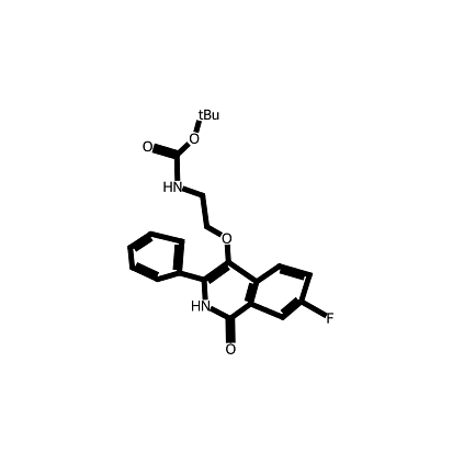 CC(C)(C)OC(=O)NCCOc1c(-c2ccccc2)[nH]c(=O)c2cc(F)ccc12